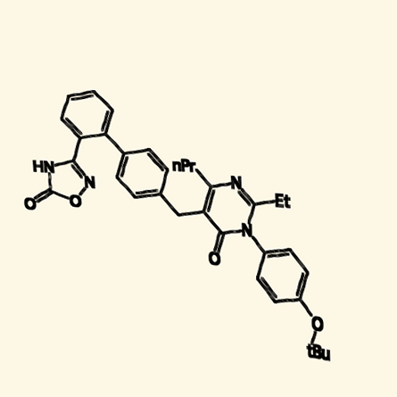 CCCc1nc(CC)n(-c2ccc(OC(C)(C)C)cc2)c(=O)c1Cc1ccc(-c2ccccc2-c2noc(=O)[nH]2)cc1